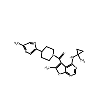 Cc1cnc(C2CCN(C(=O)c3c(C)oc4ncnc(NC5(C)CC5)c34)CC2)cn1